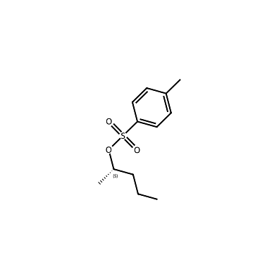 CCC[C@H](C)OS(=O)(=O)c1ccc(C)cc1